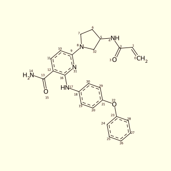 C=CC(=O)NC1CCN(c2ccc(C(N)=O)c(Nc3ccc(Oc4ccccc4)cc3)n2)C1